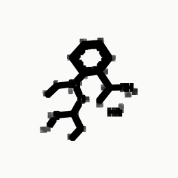 Br.CCC([O][Sn]([CH2]C)[c]1ccccc1C(C)N)SI